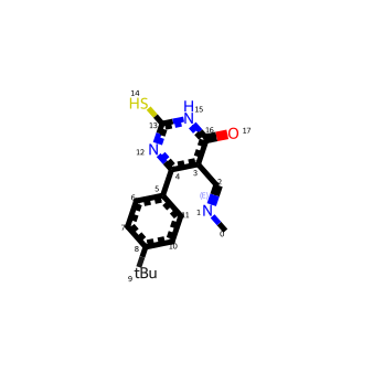 C/N=C/c1c(-c2ccc(C(C)(C)C)cc2)nc(S)[nH]c1=O